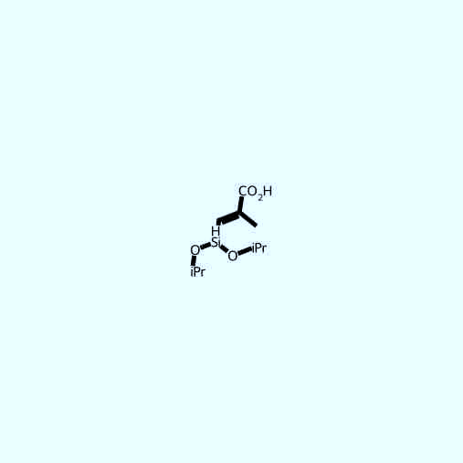 CC(=C[SiH](OC(C)C)OC(C)C)C(=O)O